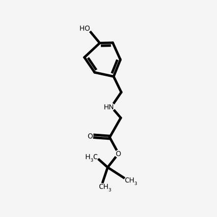 CC(C)(C)OC(=O)CNCc1ccc(O)cc1